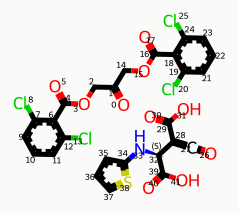 O=C(COC(=O)c1c(Cl)cccc1Cl)COC(=O)c1c(Cl)cccc1Cl.O=C=C(C(=O)O)[C@H](Nc1cccs1)C(=O)O